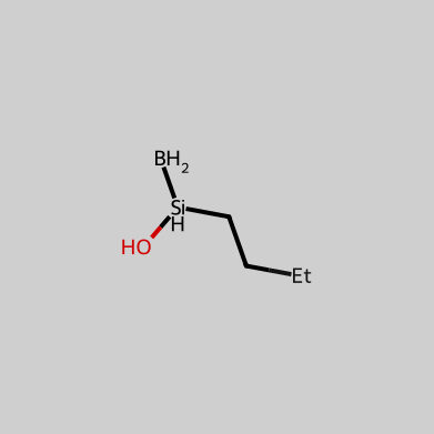 B[SiH](O)CCCC